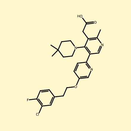 Cc1ncc(-c2ccc(OCCc3ccc(F)c(Cl)c3)cn2)c(N2CCC(C)(C)CC2)c1CC(=O)O